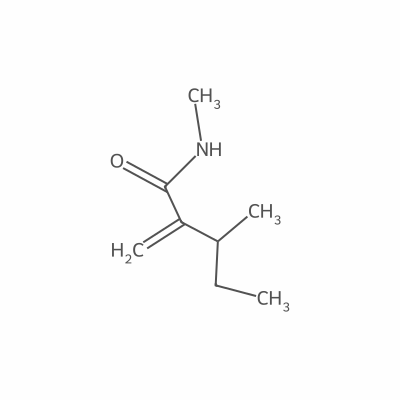 C=C(C(=O)NC)C(C)CC